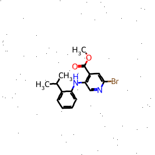 COC(=O)c1cc(Br)ncc1Nc1ccccc1C(C)C